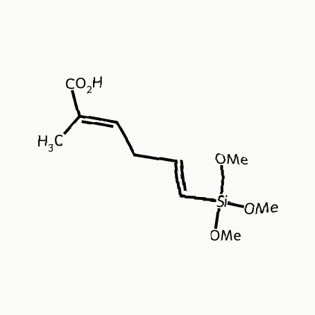 CO[Si](C=CCC=C(C)C(=O)O)(OC)OC